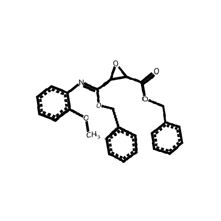 COc1ccccc1N=C(OCc1ccccc1)C1OC1C(=O)OCc1ccccc1